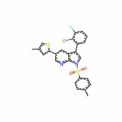 Cc1ccc(S(=O)(=O)n2cc(-c3cccc(F)c3Cl)c3cc(-c4cc(C)cs4)cnc32)cc1